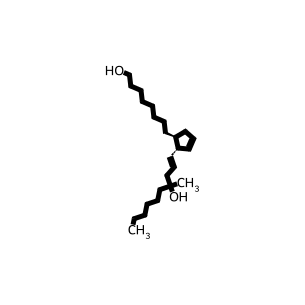 CCCCCCC(C)(O)C/C=C/[C@H]1C=CC[C@@H]1CCCCCCCCO